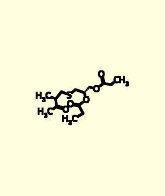 CCC(=O)OC[C@@H](CSC[C@H](C)C(C)=O)OC(=O)CC